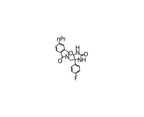 CCCc1ccc2c(c1)CN(CC1(c3ccc(F)cc3)NC(=O)NC1=O)C2=O